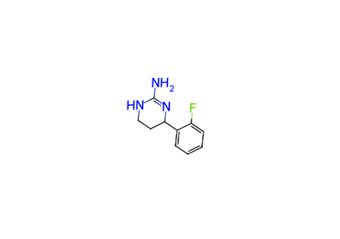 NC1=NC(c2ccccc2F)CCN1